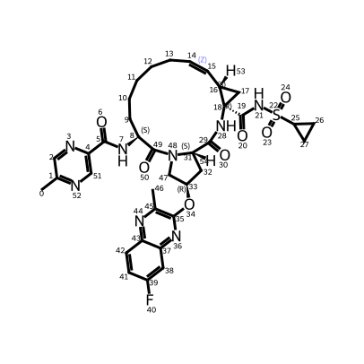 Cc1cnc(C(=O)N[C@H]2CCCCC/C=C\[C@@H]3C[C@@]3(C(=O)NS(=O)(=O)C3CC3)NC(=O)[C@@H]3C[C@@H](Oc4nc5cc(F)ccc5nc4C)CN3C2=O)cn1